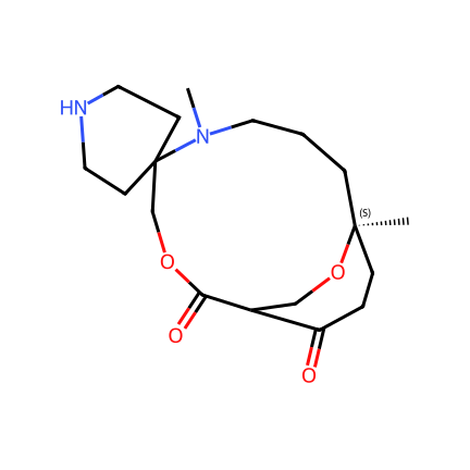 CN1CCC[C@@]2(C)CCC(=O)C(CO2)C(=O)OCC12CCNCC2